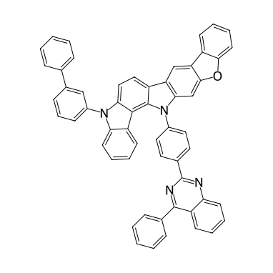 c1ccc(-c2cccc(-n3c4ccccc4c4c3ccc3c5cc6c(cc5n(-c5ccc(-c7nc(-c8ccccc8)c8ccccc8n7)cc5)c34)oc3ccccc36)c2)cc1